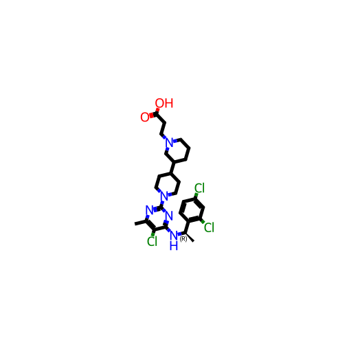 Cc1nc(N2CCC(C3CCCN(CCC(=O)O)C3)CC2)nc(N[C@H](C)c2ccc(Cl)cc2Cl)c1Cl